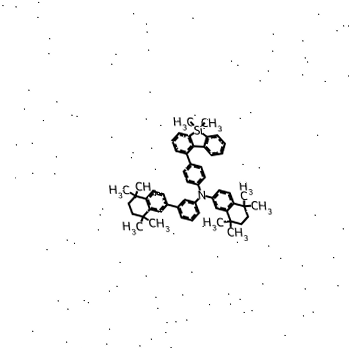 CC1(C)CCC(C)(C)c2cc(-c3cccc(N(c4ccc(-c5cccc6c5-c5ccccc5[Si]6(C)C)cc4)c4ccc5c(c4)C(C)(C)CCC5(C)C)c3)ccc21